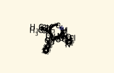 CC(C)(C)OC(=O)N[C@H]1CCCCC/C=C\[C@@H]2C[C@@]2(C(=O)NS(=O)(=O)c2cnccc2Cl)NC(=O)C2C[C@@H](OC(=O)N3Cc4ccccc4C3)CN2C1=O